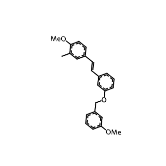 COc1cccc(COc2cccc(C=Cc3ccc(OC)c(C)c3)c2)c1